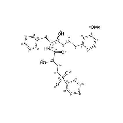 COc1cccc(CNC[C@H](O)[C@H](Cc2ccccc2)NC(=O)C(O)CCS(=O)(=O)c2ccccc2)c1